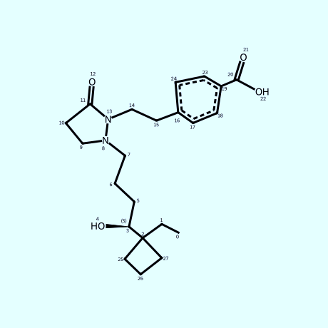 CCC1([C@@H](O)CCCN2CCC(=O)N2CCc2ccc(C(=O)O)cc2)CCC1